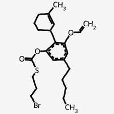 C=COc1cc(CCCCC)cc(OC(=O)SCCCBr)c1C1C=C(C)CCC1